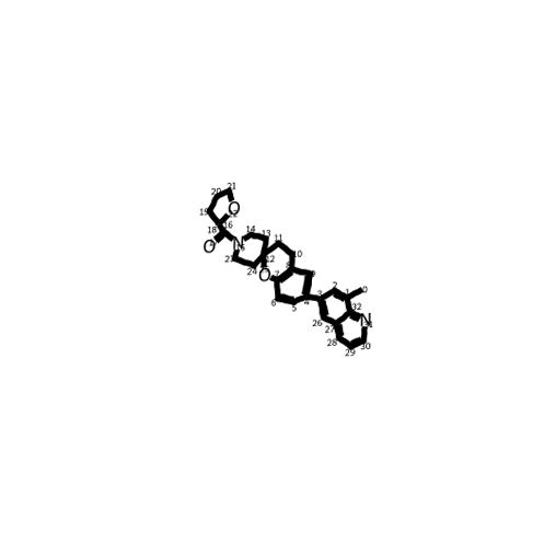 Cc1cc(-c2ccc3c(c2)CCC2(CCN(C(=O)C4CCCO4)CC2)O3)cc2cccnc12